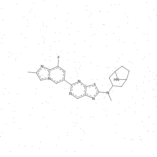 Cc1cn2cc(-c3ncc4nc(N(C)C5CC6CCC(C5)N6)sc4n3)cc(F)c2n1